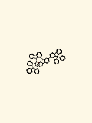 c1ccc(C2(c3ccccc3)c3ccccc3-c3ccc(-c4ccc5c6ccccc6n(-c6cccc7c8ccccc8n(-c8cccc([Si](c9ccccc9)(c9ccccc9)c9ccccc9)c8)c67)c5c4)cc32)cc1